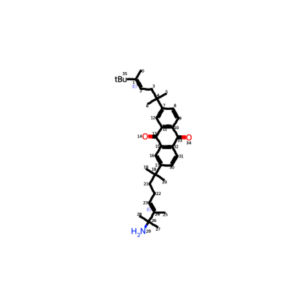 C/C(=C\CC(C)(C)c1ccc2c(c1)C(=O)c1cc(C(C)(C)CC/C=C(\C)C(C)(C)N)ccc1C2=O)C(C)(C)C